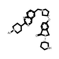 CC(=O)N1CCC(c2ncc3cc(CN4CC[C@H](Oc5ccc6c(c5)CN([C@H]5CCCNC5)C6=O)C4)ccc3n2)CC1